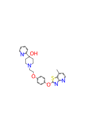 Cc1ccnc2nc(Oc3ccc(OCCN4CCC(O)(c5ccccn5)CC4)cc3)sc12